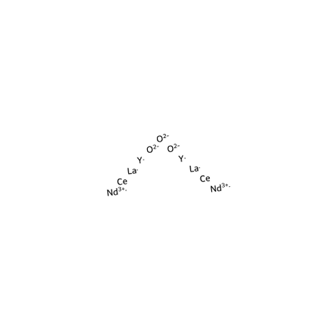 [Ce].[Ce].[La].[La].[Nd+3].[Nd+3].[O-2].[O-2].[O-2].[Y].[Y]